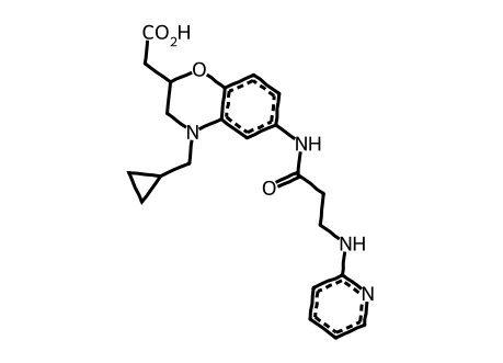 O=C(O)CC1CN(CC2CC2)c2cc(NC(=O)CCNc3ccccn3)ccc2O1